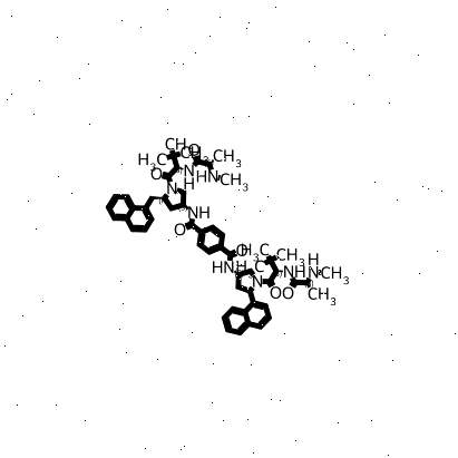 CN[C@@H](C)C(=O)N[C@H](C(=O)N1C[C@@H](NC(=O)c2ccc(C(=O)N[C@H]3C[C@@H](Cc4cccc5ccccc45)N(C(=O)[C@@H](NC(=O)[C@H](C)NC)C(C)(C)C)C3)cc2)CC1c1cccc2ccccc12)C(C)(C)C